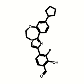 O=Cc1ccc(-c2cn3c(n2)-c2ccc(C4CCCC4)cc2OCC3)c(F)c1O